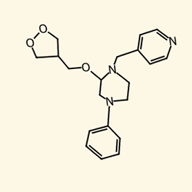 c1ccc(N2CCN(Cc3ccncc3)C(OCC3COOC3)C2)cc1